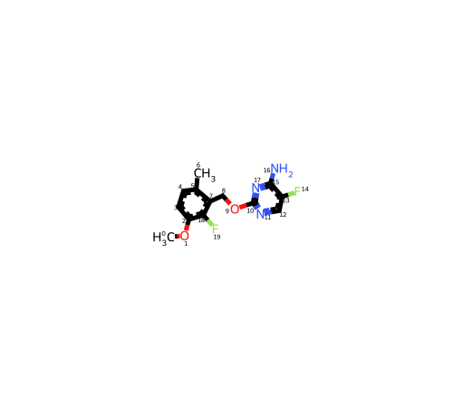 COc1ccc(C)c(COc2ncc(F)c(N)n2)c1F